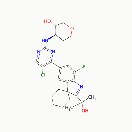 CC(C)(O)C1=Nc2c(F)cc(-c3nc(N[C@@H]4CCOC[C@H]4O)ncc3Cl)cc2C12CCCCC2